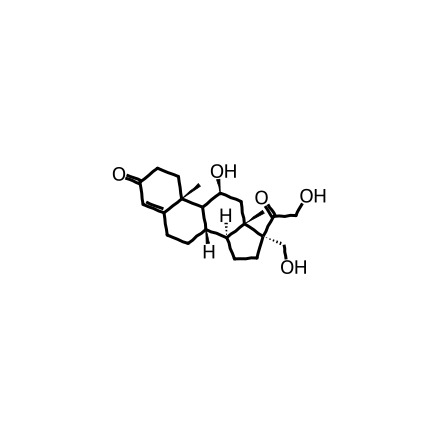 C[C@]12CCC(=O)C=C1CC[C@@H]1C2[C@@H](O)C[C@@]2(C)[C@H]1CC[C@]2(CO)C(=O)CO